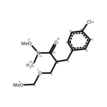 COCOCC(Cc1ccc(Cl)cc1)C(=O)N(C)OC